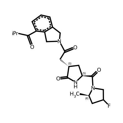 CC(C)C(=O)c1cccc2c1CN(C(=O)C[C@@H]1C[C@@H](C(=O)N3CC(F)C[C@H]3C)NC1=O)C2